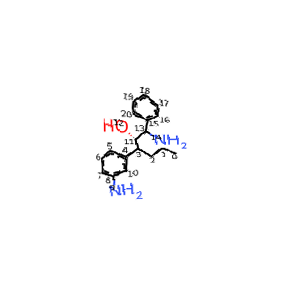 CCCC(c1cccc(N)c1)[C@H](O)C(N)c1ccccc1